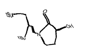 CC(C)(C)CC(N1CCC(O)C1=O)C(C)(C)C